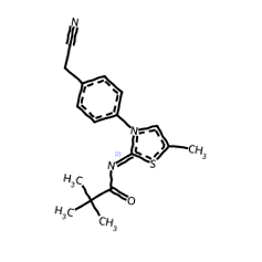 Cc1cn(-c2ccc(CC#N)cc2)/c(=N/C(=O)C(C)(C)C)s1